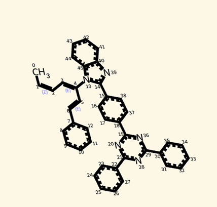 C\C=C/C=C(\C=C\c1ccccc1)n1c(-c2ccc(-c3nc(-c4ccccc4)nc(-c4ccccc4)n3)cc2)nc2ccccc21